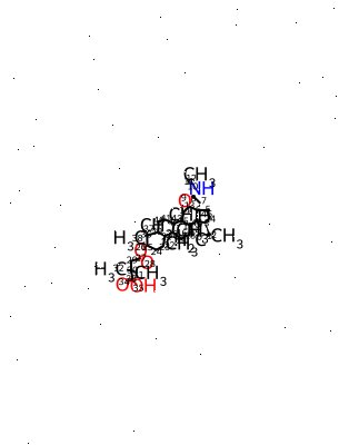 C=C(C)[C@@H]1CC[C@]2(CC(=O)NCC)CC[C@]3(C)[C@H](CCC4[C@@]5(C)CC[C@H](OC(=O)CC(C)(C)C(=O)O)C(C)(C)C5CC[C@]43C)[C@@H]12